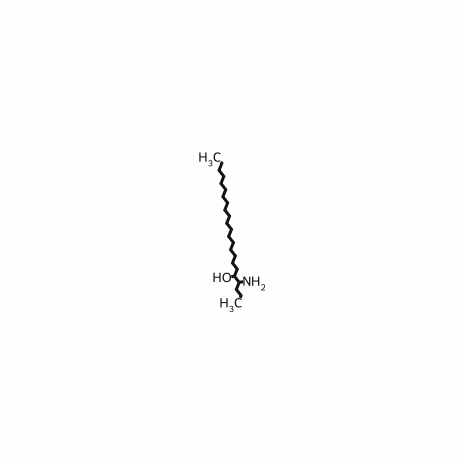 CCCCCCCCCCCCCCCCCCC(O)C(N)CCC